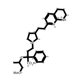 COCC(C)OC(CCN1CCC(CCc2ccc3c(n2)NCCC3)C1)(C(=O)O)c1ccccc1